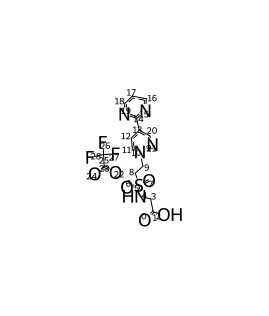 O=C(O)CNS(=O)(=O)CC[n+]1ccc(-c2ncccn2)cn1.O=C([O-])C(F)(F)F